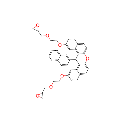 c1ccc2cc(C3c4c(ccc5ccc(OCCOCC6CO6)cc45)Oc4ccc5ccc(OCCOCC6CO6)cc5c43)ccc2c1